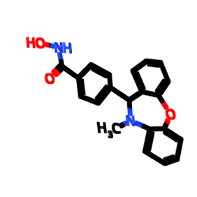 CN1c2ccccc2Oc2ccccc2C1c1ccc(C(=O)NO)cc1